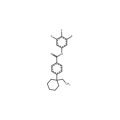 CCC1(c2ccc(C(=O)Oc3cc(F)c(F)c(F)c3)cc2)CCCCC1